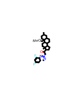 C=NN(CC(=O)C1CCC2C3CCC4CC(C)CCC4(COC)C3CCC12C)/N=C1\CC=C(F)C=C1F